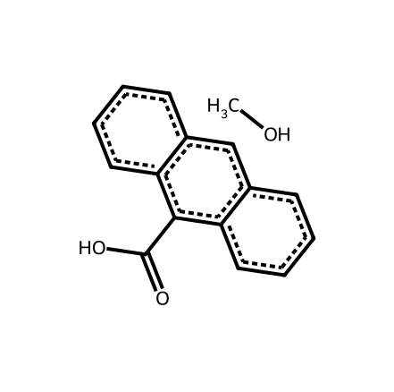 CO.O=C(O)c1c2ccccc2cc2ccccc12